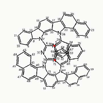 c1ccc(-c2nc(-n3c4ccccc4c4ccc5c6ccc7ccccc7c6n(-c6ccccc6)c5c43)nc(-n3c4c5ccccc5ccc4c4ccc5c6ccc7ccccc7c6n(-c6ccccc6)c5c43)n2)cc1